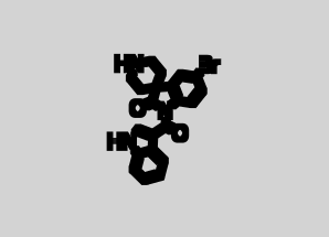 O=C(c1c[nH]c2ccccc12)N1C(=O)C2(CCNCC2)c2cc(Br)ccc21